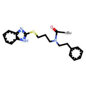 CCCCC(=O)N(CCCSc1nc2ccccc2[nH]1)CCc1ccccc1